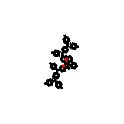 C=C(c1ccc(C(c2ccc(C)cc2)c2ccc(N(c3ccc(C)cc3)c3ccc(C)cc3)cc2)cc1)C1(C(=C)c2ccc(N(c3ccc(C)cc3)c3ccc(N(c4ccc(C)cc4)c4ccc(C)cc4)cc3)cc2)c2ccccc2-c2ccc(C)cc21